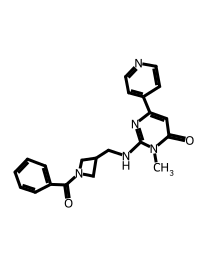 Cn1c(NCC2CN(C(=O)c3ccccc3)C2)nc(-c2ccncc2)cc1=O